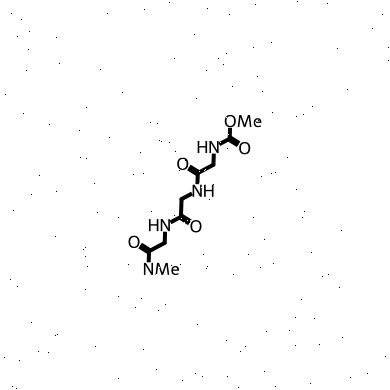 CNC(=O)CNC(=O)CNC(=O)CNC(=O)OC